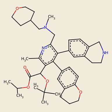 Cc1nc(CN(C)CC2CCOCC2)c(-c2ccc3c(c2)CCNC3)c(-c2ccc3c(c2)CCCO3)c1C(OC(C)(C)C)C(=O)OC(C)C